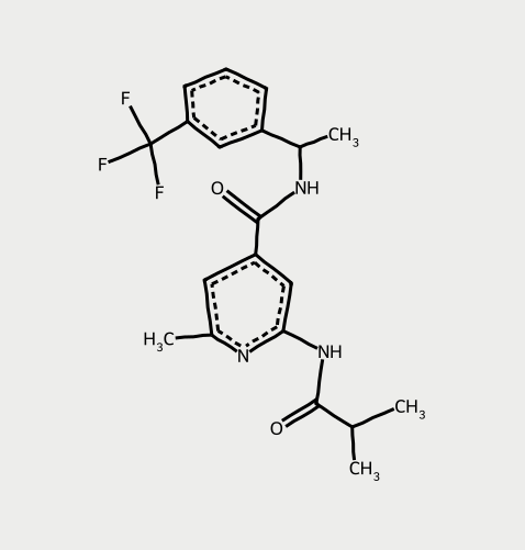 Cc1cc(C(=O)NC(C)c2cccc(C(F)(F)F)c2)cc(NC(=O)C(C)C)n1